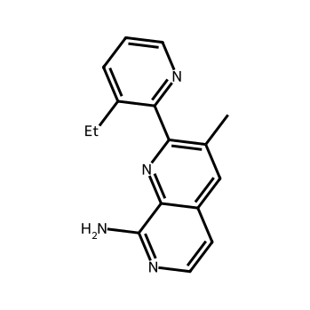 CCc1cccnc1-c1nc2c(N)nccc2cc1C